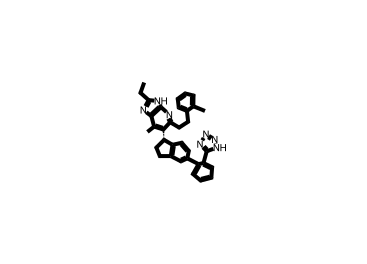 CCc1nc2c(C)c([C@H]3CCc4cc(-c5ccccc5-c5nnn[nH]5)ccc43)c(CCc3ccccc3C)nc2[nH]1